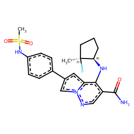 C[C@]1(F)CCC[C@H]1Nc1c(C(N)=O)cnn2cc(-c3ccc(NS(C)(=O)=O)cc3)cc12